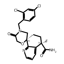 NC(=O)[C@]1(F)CC[C@]2(CN(Cc3ccc(Cl)cc3Cl)C(=O)CO2)c2ncccc21